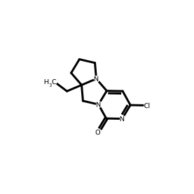 CCC12CCCN1c1cc(Cl)nc(=O)n1C2